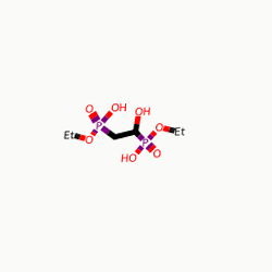 CCOP(=O)(O)CC(O)P(=O)(O)OCC